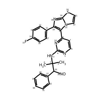 CC(C)(Nc1nccc(-c2c(-c3ccc(F)cc3)nc3sccn23)n1)C(N=O)c1ccccc1